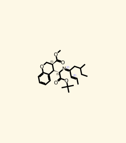 C/C=C/C(CC(C)CC)=N\[C@H](C(=O)OC(C)(C)C)C1c2ccccc2OC[C@H]1C(=O)OC